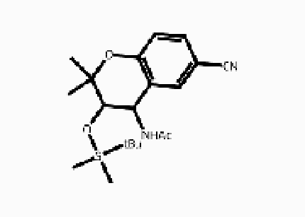 CC(=O)NC1c2cc(C#N)ccc2OC(C)(C)C1O[Si](C)(C)C(C)(C)C